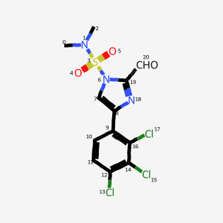 CN(C)S(=O)(=O)n1cc(-c2ccc(Cl)c(Cl)c2Cl)nc1C=O